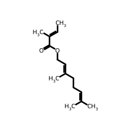 CC=C(C)C(=O)OC/C=C(\C)CCC=C(C)C